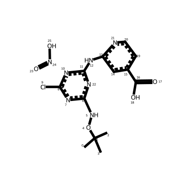 CC(C)(C)ONc1nc(Cl)nc(Nc2cc(C(=O)O)ccn2)n1.O=NO